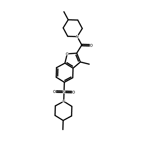 Cc1c(C(=O)N2CCC(C)CC2)oc2ccc(S(=O)(=O)N3CCC(C)CC3)cc12